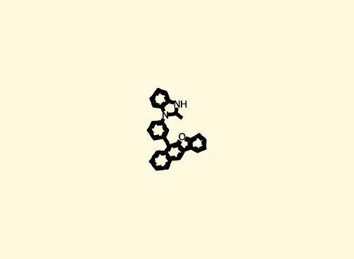 CC1Nc2ccccc2N1c1cccc(-c2c3ccccc3cc3c2oc2ccccc23)c1